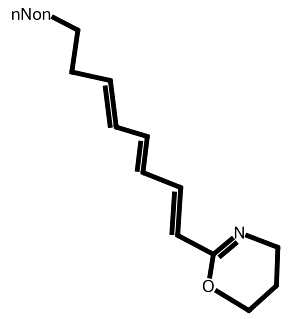 CCCCCCCCCCCC=CC=CC=CC1=NCCCO1